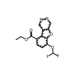 CCOC(=O)c1ccc(OC(F)F)c2oc3cnncc3c12